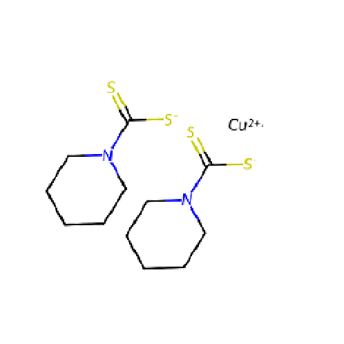 S=C([S-])N1CCCCC1.S=C([S-])N1CCCCC1.[Cu+2]